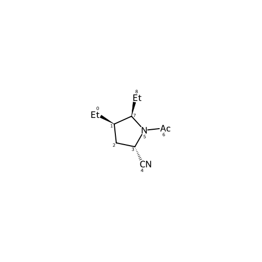 CC[C@@H]1C[C@@H](C#N)N(C(C)=O)[C@@H]1CC